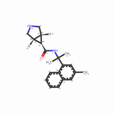 Cc1cc(C(C)(C)NC(=O)[C@H]2[C@@H]3CNC[C@@H]32)c2ccccc2c1